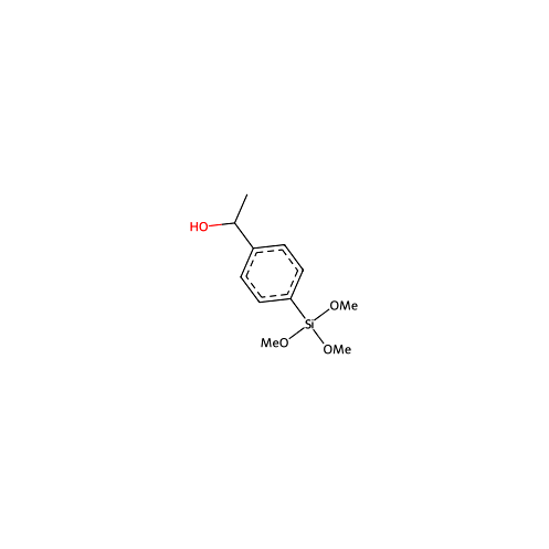 CO[Si](OC)(OC)c1ccc(C(C)O)cc1